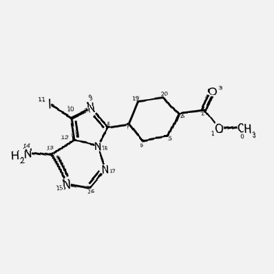 COC(=O)C1CCC(c2nc(I)c3c(N)ncnn23)CC1